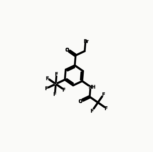 O=C(CBr)c1cc(NC(=O)C(F)(F)F)cc(S(F)(F)(F)(F)F)c1